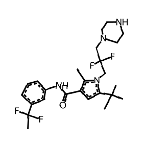 Cc1c(C(=O)Nc2cccc(C(C)(F)F)c2)cc(C(C)(C)C)n1CC(F)(F)CN1CCNCC1